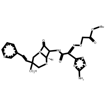 CC(C)(C)OC(=O)CON=C(C(=O)NC1C(=O)N2CC(C=Cc3cccnc3)(C(=O)O)CS[C@H]12)c1nsc(N)n1